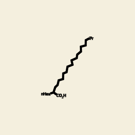 CCCCCCC(CCCCCCCCCCCCCCCC(C)C)C(=O)O